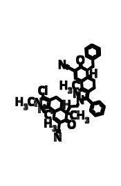 Cn1nc2c(c1Cl)CC[C@H]1C(C)(CCn3nc4c(c3-c3ccccc3)CC[C@H]3[C@H](Cc5c#cccc5)C(=O)C(C#N)=C[C@]43C)C(=O)C(C#N)=C[C@]21C